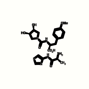 COc1ccc(C[C@H](NC(=O)N2C[C@@H](O)[C@@H](O)C2)C(=O)O)cc1.C[C@H](N)C(=O)Nc1cscn1